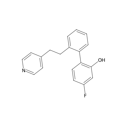 Oc1cc(F)ccc1-c1ccccc1CCc1ccncc1